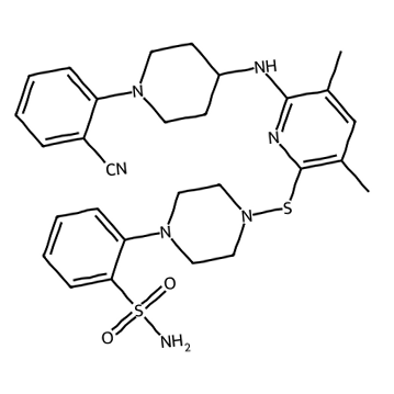 Cc1cc(C)c(SN2CCN(c3ccccc3S(N)(=O)=O)CC2)nc1NC1CCN(c2ccccc2C#N)CC1